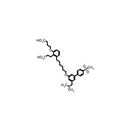 CN(C)Cc1cc(OCCCCCCc2cccc(OCCCC(=O)O)c2CCC(=O)O)cc(-c2ccc(S(C)(=O)=O)cc2)c1